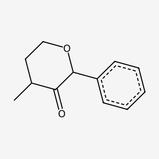 CC1CCOC(c2ccccc2)C1=O